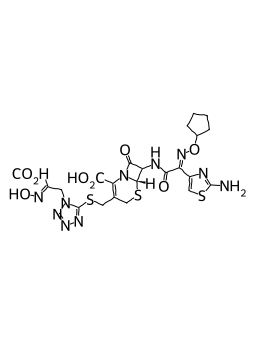 Nc1nc(C(=NOC2CCCC2)C(=O)NC2C(=O)N3C(C(=O)O)=C(CSc4nnnn4CC(=NO)C(=O)O)CS[C@@H]23)cs1